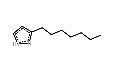 [CH2]CCCCCCc1cc[nH]n1